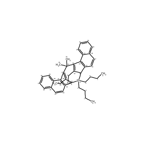 CCC[CH2][Zr]1([CH2]CCC)[CH]2C(CC)=C(c3c2ccc2ccccc32)C(C)(C)C2=C(CC)[CH]1c1ccc3ccccc3c12